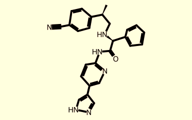 C[C@@H](CN[C@H](C(=O)Nc1ccc(-c2cn[nH]c2)cn1)c1ccccc1)c1ccc(C#N)cc1